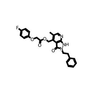 Cc1cnc2[nH]n(CCc3ccccc3)c(=O)c2c1COC(=O)COc1ccc(F)cc1